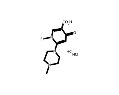 CCn1cc(C(=O)O)c(=O)cc1N1CCN(C)CC1.Cl.Cl